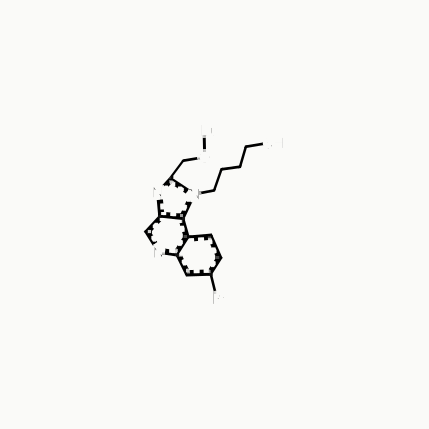 CCOCc1nc2cnc3cc(Br)ccc3c2n1CCCCS